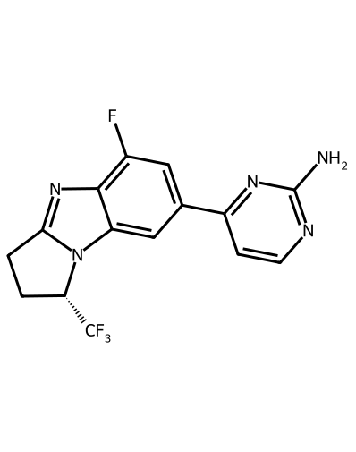 Nc1nccc(-c2cc(F)c3nc4n(c3c2)[C@H](C(F)(F)F)CC4)n1